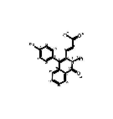 CC(C)n1c(C=CC(=O)Cl)c(-c2ccc(F)cc2)c2ccccc2c1=O